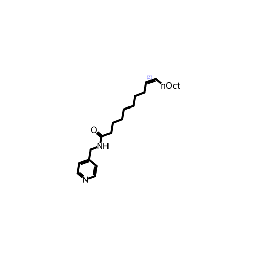 CCCCCCCC/C=C\CCCCCCCC(=O)NCc1ccncc1